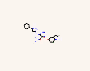 Cc1cc2c(F)c(Oc3ncnc(Nc4cc(-c5ccccc5)[nH]n4)c3C(=O)N(C)C)cc(F)c2[nH]1